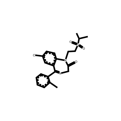 Cc1ccccc1C1=NCC(=O)N(CCS(=O)(=O)C(C)C)c2ccc(Cl)cc21